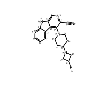 N#Cc1ncc2[nH]c3ncccc3c2c1N1CCC(N2CC(F)C2)CC1